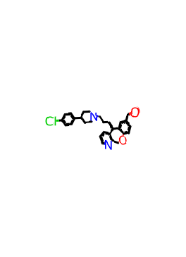 O=Cc1ccc2c(c1)/C(=C/CCN1CCC(c3ccc(Cl)cc3)CC1)c1cccnc1CO2